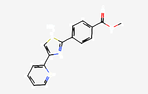 Br.COC(=O)c1ccc(-c2nc(-c3ccccn3)cs2)cc1